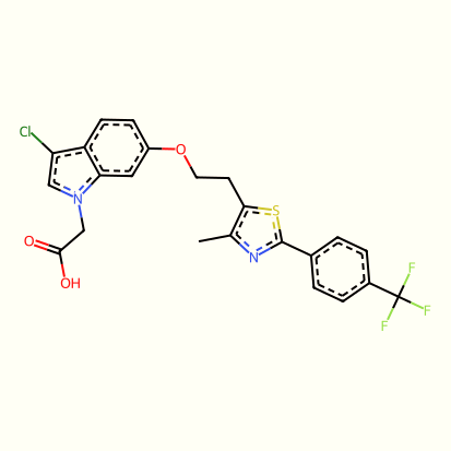 Cc1nc(-c2ccc(C(F)(F)F)cc2)sc1CCOc1ccc2c(Cl)cn(CC(=O)O)c2c1